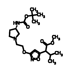 COC(=O)C(c1cc(OCCN2CC[C@H](NC(=O)OC(C)(C)C)C2)no1)C(C)C